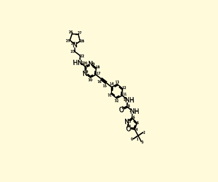 CC(C)(C)c1cc(NC(=O)Nc2ccc(C#Cc3cnc(NCCN4CCCC4)nc3)cc2)no1